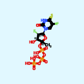 C[C@]1(OP(=O)(O)OP(=O)(O)OP(=O)(O)O)O[C@@H](n2cc(F)c(=S)[nH]c2=O)[C@@H](F)[C@H]1O